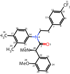 CN[C@@H](C(=O)N(CCc1ccc(C(F)(F)F)cc1)c1ccc(C)c(C)c1)c1ccccc1OC